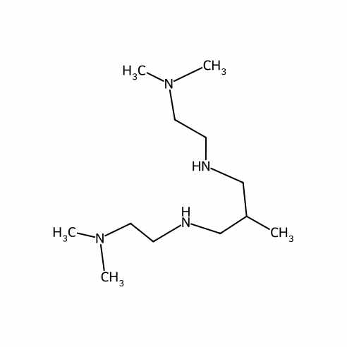 CC(CNCCN(C)C)CNCCN(C)C